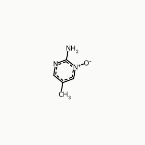 Cc1cnc(N)[n+]([O-])c1